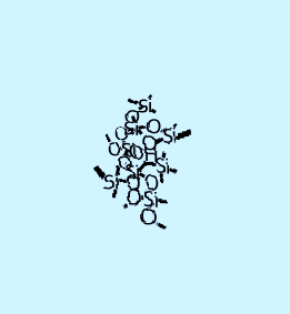 C=C[Si](C)(C)O[Si](C[Si](C)(C)C)(O[Si](C)(OC)OC)O[Si](O)(OC)O[Si](OC)(O[Si](C)(C)C)O[Si](C)(C)C=C